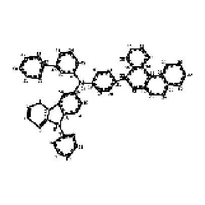 C1=CCC2C(=C1)N(c1ccccc1)c1ccc(N(c3ccc(-c4cc5ccc6ccccc6c5c5ccccc45)cc3)c3cccc(-c4ccccc4)c3)cc12